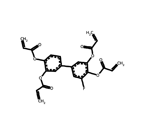 C=CC(=O)Oc1ccc(-c2cc(F)c(OC(=O)C=C)c(OC(=O)C=C)c2)cc1OC(=O)C=C